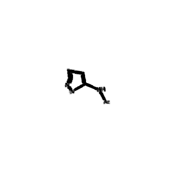 CC(=O)NC1=CC=N[N]1